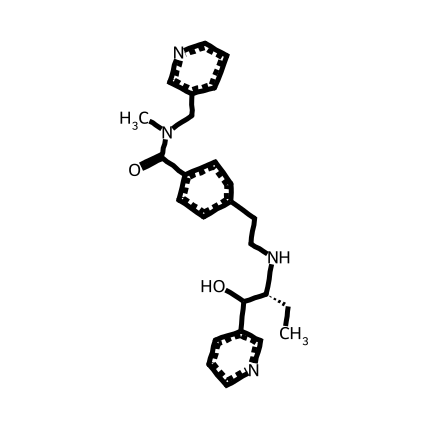 CC[C@@H](NCCc1ccc(C(=O)N(C)Cc2cccnc2)cc1)C(O)c1cccnc1